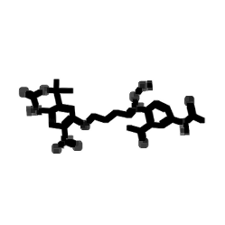 CC(=O)Nc1ccc([N+](=CCCCOc2cc3c(cc2[N+](=O)[O-])NC(=O)OC3(C)C)OS)c(C(C)=O)c1